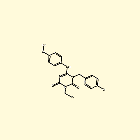 CCOc1ccc(Nc2nc(=O)n(CC(C)C)c(=O)n2Cc2ccc(Cl)cc2)cc1